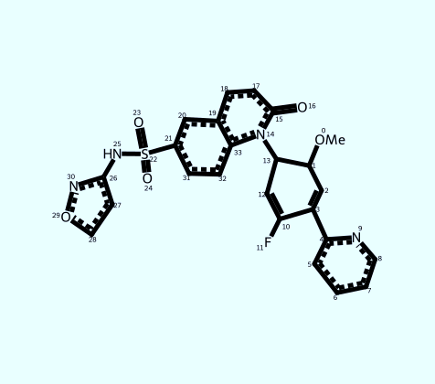 COC1C=C(c2ccccn2)C(F)=CC1n1c(=O)ccc2cc(S(=O)(=O)Nc3ccon3)ccc21